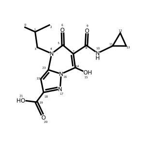 CC(C)Cn1c(=O)c(C(=O)NC2CC2)c(O)n2nc(C(=O)O)cc12